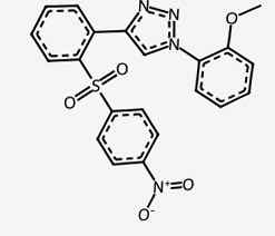 COc1ccccc1-n1cc(-c2ccccc2S(=O)(=O)c2ccc([N+](=O)[O-])cc2)nn1